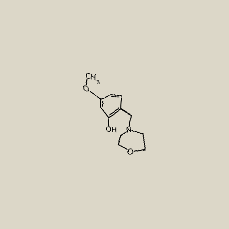 COc1ccc(CN2CCOCC2)c(O)c1